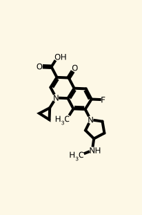 CNC1CCN(c2c(F)cc3c(=O)c(C(=O)O)cn(C4CC4)c3c2C)C1